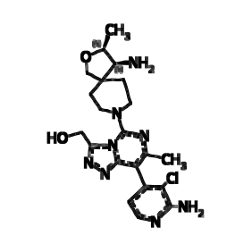 Cc1nc(N2CCC3(CC2)CO[C@@H](C)[C@H]3N)n2c(CO)nnc2c1-c1ccnc(N)c1Cl